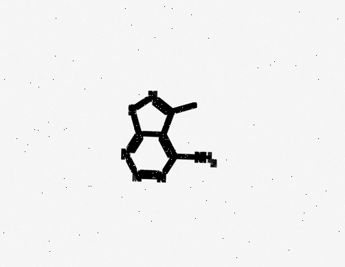 Cc1nsc2nnnc(N)c12